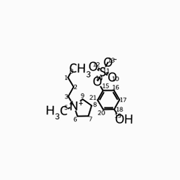 CCCC[N+]1(C)CCCC1.O=S(=O)([O-])Oc1ccc(O)cc1